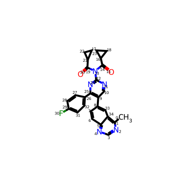 Cc1ncnc2ccc(-c3cnc(N(C(=O)C4CC4)C(=O)C4CC4)nc3-c3ccc(F)cc3)cc12